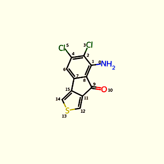 Nc1c(Cl)c(Cl)cc2c1C(=O)c1cscc1-2